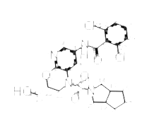 O=C(Nc1cnc2c(c1)N(S(=O)(=O)N1CC3CCCC3C1)C[C@H](CO)O2)c1c(Cl)cccc1Cl